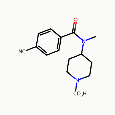 CN(C(=O)c1ccc(C#N)cc1)C1CCN(C(=O)O)CC1